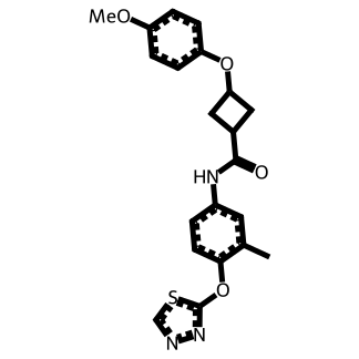 COc1ccc(OC2CC(C(=O)Nc3ccc(Oc4nncs4)c(C)c3)C2)cc1